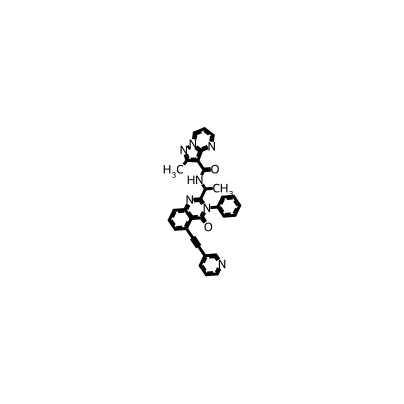 Cc1nn2cccnc2c1C(=O)NC(C)c1nc2cccc(C#Cc3cccnc3)c2c(=O)n1-c1ccccc1